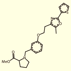 COC(=O)C1CCCN1Cc1cccc(OCCc2nc(-c3cccs3)oc2C)c1